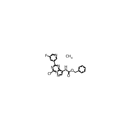 C.O=C(Nc1cnn2c(Cl)nc(-c3cncc(F)c3)nc12)OCc1ccccc1